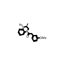 COc1cccc(CC(=O)N2C[C@H](C)N(C(C)=O)c3ccccc32)c1